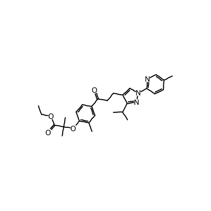 CCOC(=O)C(C)(C)Oc1ccc(C(=O)CCc2cn(-c3ccc(C)cn3)nc2C(C)C)cc1C